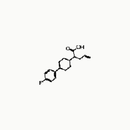 C=CCC(C(=O)O)C1CCC(c2ccc(F)cc2)CC1